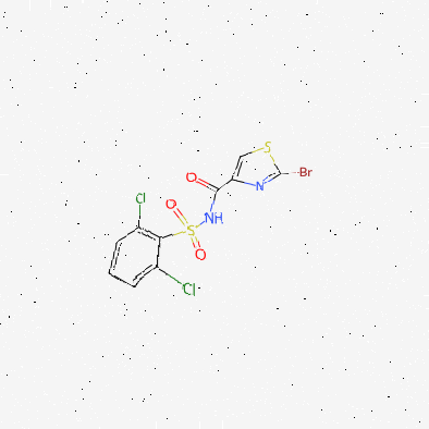 O=C(NS(=O)(=O)c1c(Cl)cccc1Cl)c1csc(Br)n1